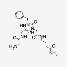 NCC(=O)NCC(=O)N[C@@H](Cc1ccccc1)C(=O)NCC(=O)NCCCC(N)=O